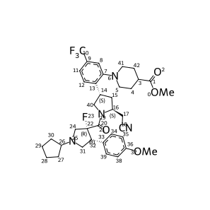 COC(=O)C1CCN(c2cc(C(F)(F)F)ccc2[C@@H]2C[C@@H](CC#N)N(C(=O)[C@]3(F)CN(C4CCCC4)C[C@H]3c3ccc(OC)cc3)C2)CC1